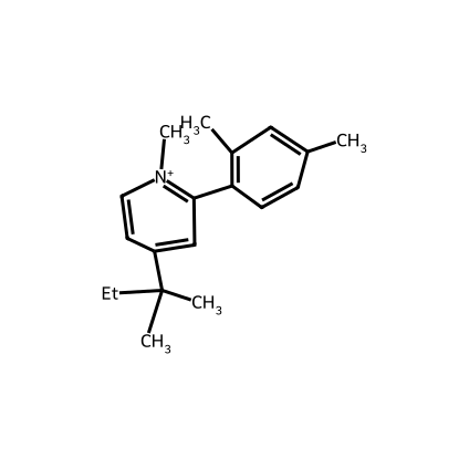 CCC(C)(C)c1cc[n+](C)c(-c2ccc(C)cc2C)c1